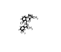 CC(=NOCc1c(-n2nnn(C)c2=O)cccc1C(F)(F)F)c1cccc(C(F)(F)F)c1